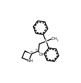 CS(C[C@@H](O)[C@@H]1CCN1)(c1ccccc1)c1ccccc1